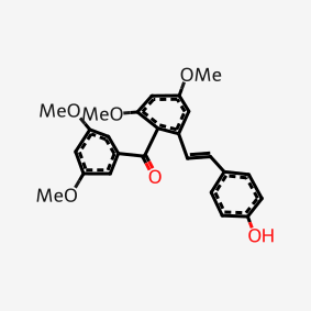 COc1cc(OC)cc(C(=O)c2c(/C=C/c3ccc(O)cc3)cc(OC)cc2OC)c1